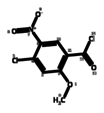 COc1cc(Cl)c([N+](=O)[O-])cc1C(=O)Cl